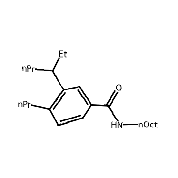 CCCCCCCCNC(=O)c1ccc(CCC)c(C(CC)CCC)c1